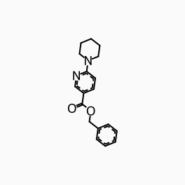 O=C(OCc1ccccc1)c1ccc(N2CCCCC2)nc1